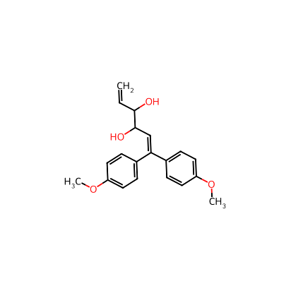 C=CC(O)C(O)C=C(c1ccc(OC)cc1)c1ccc(OC)cc1